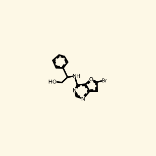 OCC(Nc1ncnc2cc(Br)oc12)c1ccccc1